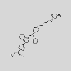 C=CC(=O)OCCCCCc1ccc(-c2cc3c4ccccc4c(-c4ccc(C(=C)CC)cc4)cc3c3ccccc23)cc1